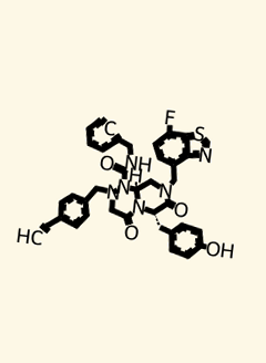 C#Cc1ccc(CN2CC(=O)N3[C@@H](Cc4ccc(O)cc4)C(=O)N(Cc4ccc(F)c5scnc45)C[C@@H]3N2C(=O)NCc2ccccc2)cc1